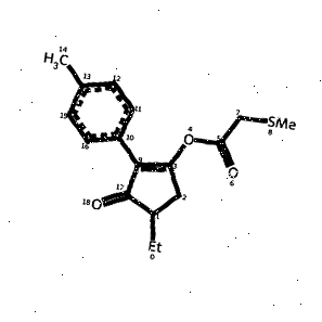 CCC1CC(OC(=O)CSC)=C(c2ccc(C)cc2)C1=O